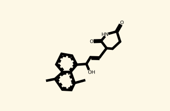 Cc1ccc(C)c2c(C(O)/C=C/C3CCC(=O)NC3=O)cccc12